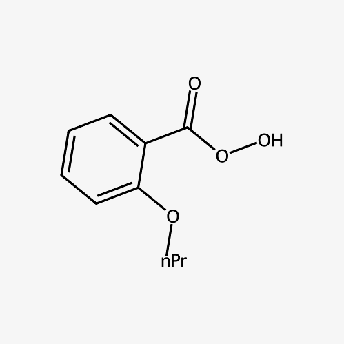 CCCOc1ccccc1C(=O)OO